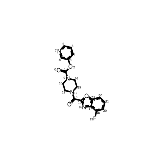 O=C(Oc1cccnc1)N1CCN(C(=O)c2nc3c(F)cccc3o2)CC1